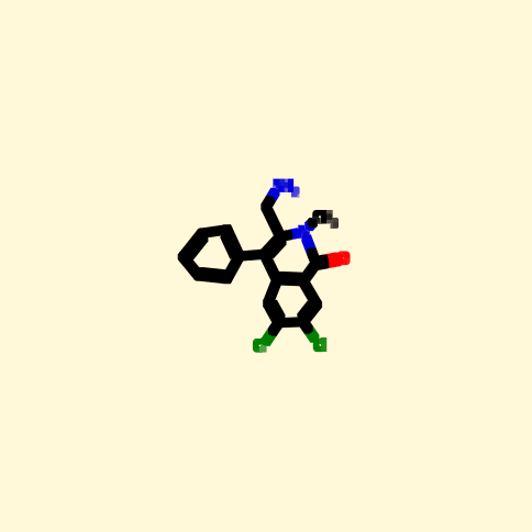 Cn1c(CN)c(-c2ccccc2)c2cc(Cl)c(Cl)cc2c1=O